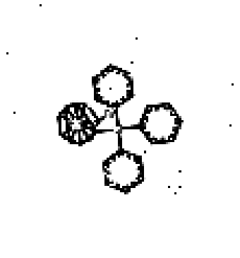 Br[C]12[CH]3[CH]4[CH]5[CH]1[Fe]45321678[CH]2[CH]1[CH]6[C]7([Si](c1ccccc1)(c1ccccc1)c1ccccc1)[CH]28